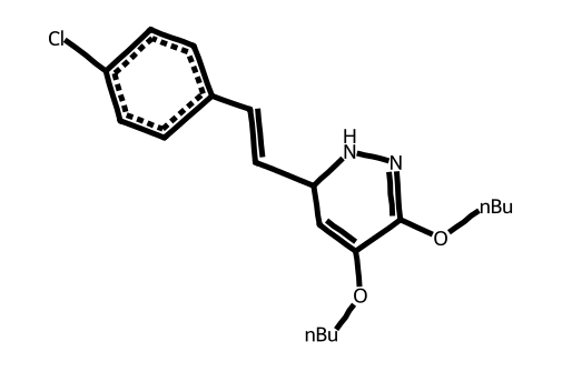 CCCCOC1=CC(/C=C/c2ccc(Cl)cc2)NN=C1OCCCC